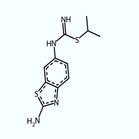 CC(C)SC(=N)Nc1ccc2nc(N)sc2c1